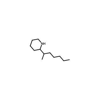 CCCCCC(C)C1CCCCN1